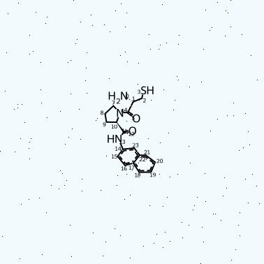 N[C@H](CS)C(=O)N1CCC[C@@H]1C(=O)Nc1ccc2ccccc2c1